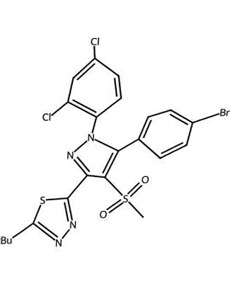 CC(C)(C)c1nnc(-c2nn(-c3ccc(Cl)cc3Cl)c(-c3ccc(Br)cc3)c2S(C)(=O)=O)s1